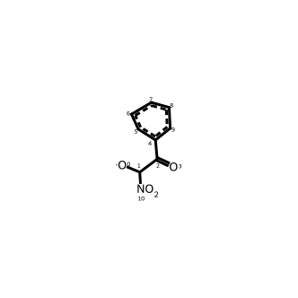 [O]C(C(=O)c1ccccc1)[N+](=O)[O-]